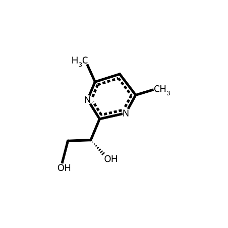 Cc1cc(C)nc([C@H](O)CO)n1